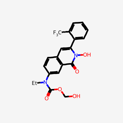 CCN(C(=O)OCO)c1ccc2cc(-c3ccccc3C(F)(F)F)n(O)c(=O)c2c1